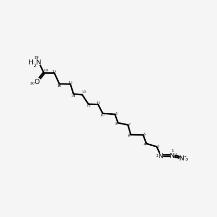 [N-]=[N+]=NCCCCCCCCCCCCCCCC(N)=O